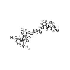 C[C@H]1C=C2C=C[C@H](C)[C@H](CC[C@@H]3C[C@@H](O)CC(=O)O3)[C@H]2[C@@H](OC(=O)NCCCCCNC(=O)COc2cccc3c2C(=O)N(C2CCC(=O)NC2=O)C3=O)C1